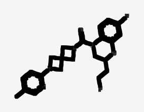 Cc1ccc(N2CC3(CN(C(=O)N4CC(CCF)Oc5cc(F)ccc54)C3)C2)nc1